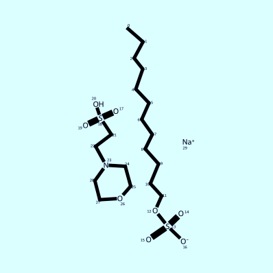 CCCCCCCCCCCCOS(=O)(=O)[O-].O=S(=O)(O)CCN1CCOCC1.[Na+]